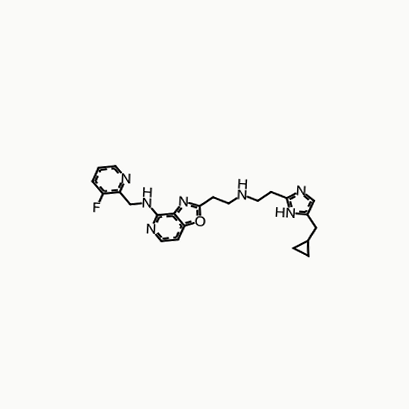 Fc1cccnc1CNc1nccc2oc(CCNCCc3ncc(CC4CC4)[nH]3)nc12